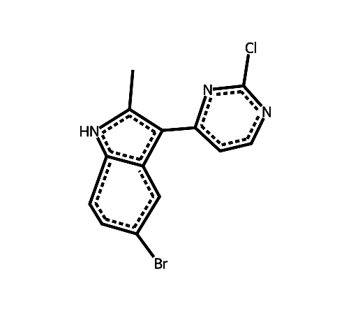 Cc1[nH]c2ccc(Br)cc2c1-c1ccnc(Cl)n1